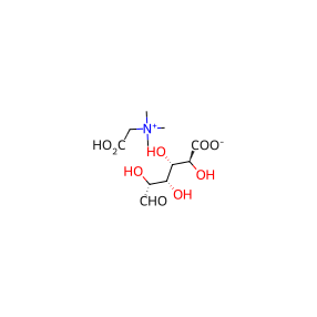 C[N+](C)(C)CC(=O)O.O=C[C@H](O)[C@@H](O)[C@H](O)[C@H](O)C(=O)[O-]